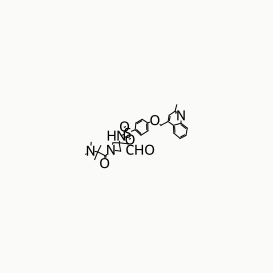 Cc1cc(COc2ccc(S(=O)(=O)NC3(CC=O)CN(C(=O)C(C)(C)N(C)C)C3)cc2)c2ccccc2n1